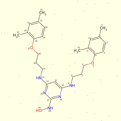 Cc1ccc(OCCCNc2cc(NCCCOc3ccc(C)cc3C)nc(NO)n2)c(C)c1